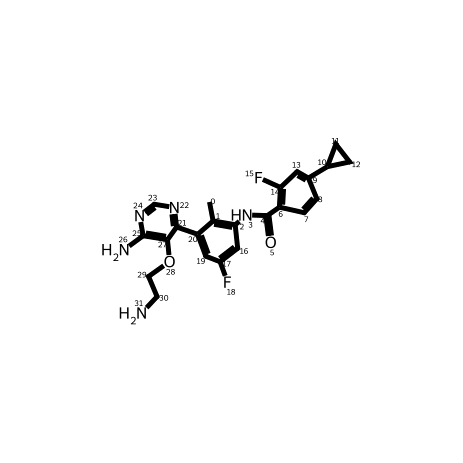 Cc1c(NC(=O)c2ccc(C3CC3)cc2F)cc(F)cc1-c1ncnc(N)c1OCCN